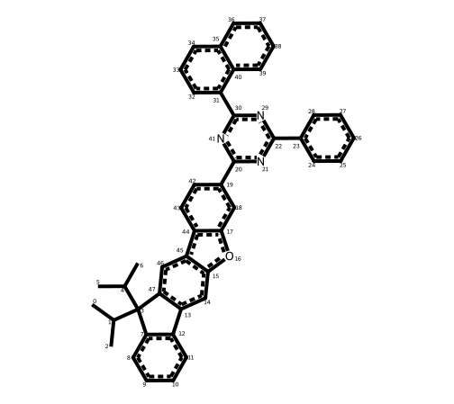 CC(C)C1(C(C)C)c2ccccc2-c2cc3oc4cc(-c5nc(-c6ccccc6)nc(-c6cccc7ccccc67)n5)ccc4c3cc21